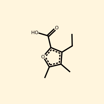 CCc1c(C(=O)O)oc(C)c1C